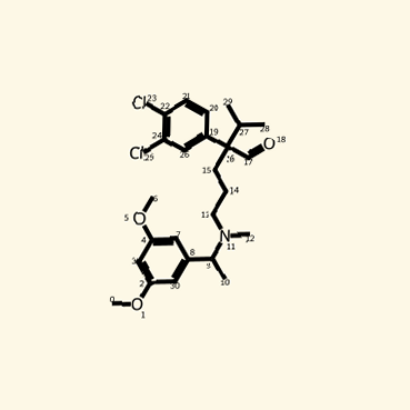 COc1cc(OC)cc(C(C)N(C)CCCC(C=O)(c2ccc(Cl)c(Cl)c2)C(C)C)c1